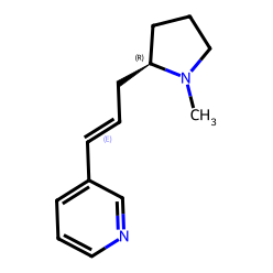 CN1CCC[C@@H]1C/C=C/c1cccnc1